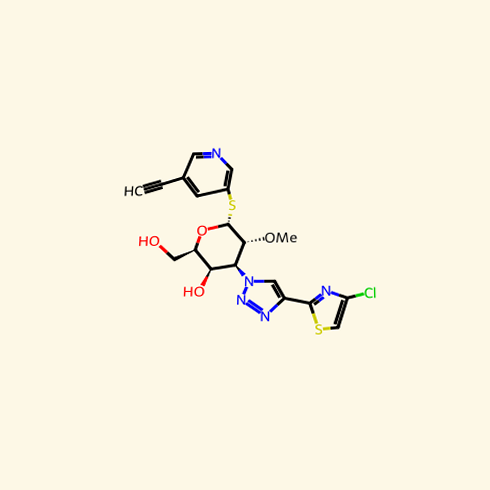 C#Cc1cncc(S[C@H]2O[C@H](CO)[C@H](O)[C@H](n3cc(-c4nc(Cl)cs4)nn3)[C@H]2OC)c1